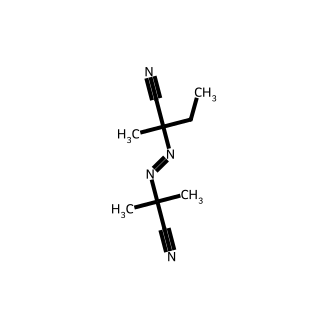 CCC(C)(C#N)N=NC(C)(C)C#N